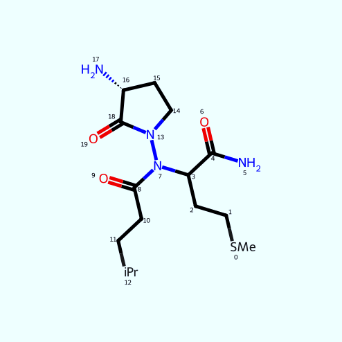 CSCCC(C(N)=O)N(C(=O)CCC(C)C)N1CC[C@@H](N)C1=O